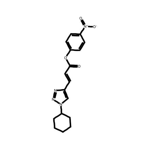 O=C(/C=C/c1cn(C2CCCCC2)nn1)Oc1ccc([N+](=O)[O-])cc1